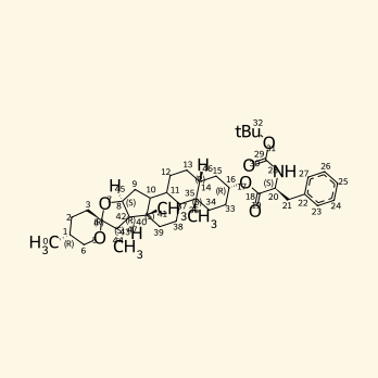 C[C@@H]1CC[C@@]2(OC1)O[C@H]1CC3C4CC[C@@H]5C[C@H](OC(=O)[C@H](Cc6ccccc6)NC(=O)OC(C)(C)C)CC[C@]5(C)C4CC[C@]3(C)[C@H]1[C@@H]2C